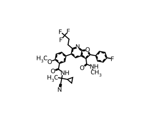 CNC(=O)c1c(-c2ccc(F)cc2)oc2nc(CCC(F)(F)F)c(-c3ccc(OC)c(C(=O)NC(C)(C#N)C4CC4)c3)cc12